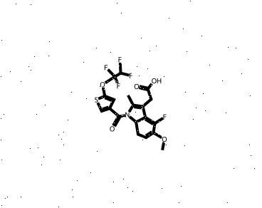 COC1=CCC2C(=C1F)C(CC(=O)O)=C(C)N2C(=O)c1csc(OC(F)(F)C(F)F)c1